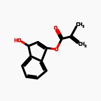 C=C(C)C(=O)OC1=CC(O)c2ccccc21